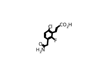 NC(=O)Cc1ccc(Cl)c(/C=C/C(=O)O)c1F